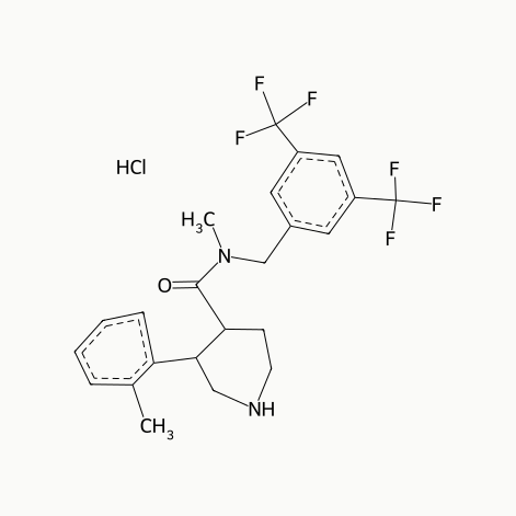 Cc1ccccc1C1CNCCC1C(=O)N(C)Cc1cc(C(F)(F)F)cc(C(F)(F)F)c1.Cl